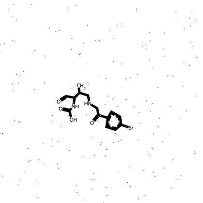 CC(CNCC(=O)c1ccc(Br)cc1)C(C=O)NC(=O)O